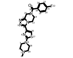 CN1CCN(c2nc(-c3nnc4n3CCN(C(=O)c3ccc(F)cc3)C4)cs2)CC1